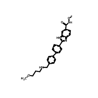 COCCCNCc1ccc(-c2ccc(-c3nc4ccc(C(=O)NOF)cc4[nH]3)cc2)cc1